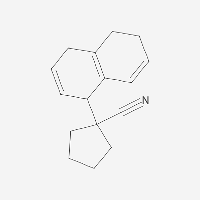 N#CC1(C2C=CCC3=C2C=CCC3)CCCC1